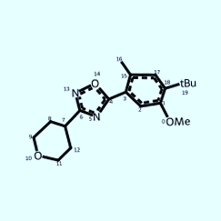 COc1cc(-c2nc(C3CCOCC3)no2)c(C)cc1C(C)(C)C